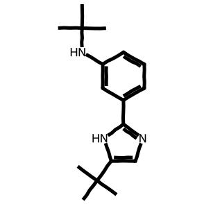 CC(C)(C)Nc1cccc(-c2ncc(C(C)(C)C)[nH]2)c1